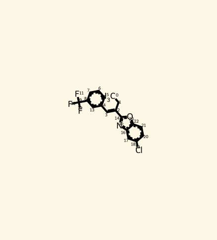 CCC(=Cc1cccc(C(F)(F)F)c1)c1nc2cc(Cl)ccc2o1